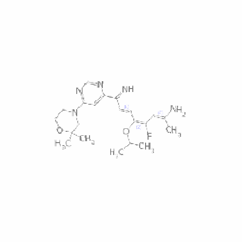 C\C(N)=C/C(F)=C(\C=C\C(=N)c1cc(N2CCOC(C)(C)C2)ncn1)OC(C)C